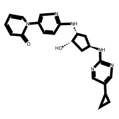 O=c1ccccn1-c1ccc(N[C@@H]2C[C@@H](Nc3ncc(C4CC4)cn3)C[C@@H]2O)nc1